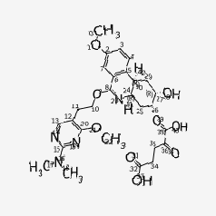 COc1ccc2c(c1)C(OCCc1cnc(N(C)C)nc1OC)=N[C@@H]1CC[C@@H](O)C[C@H]21.O=C(O)CCC(=O)C(=O)O